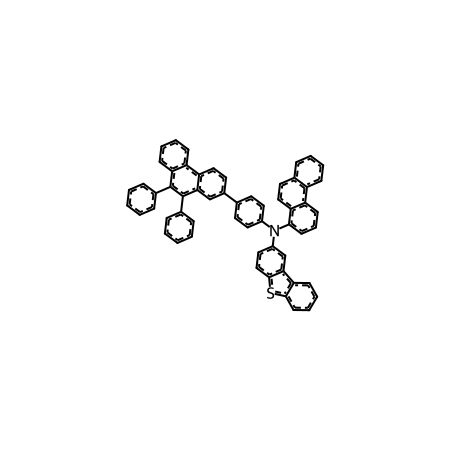 c1ccc(-c2c(-c3ccccc3)c3cc(-c4ccc(N(c5ccc6sc7ccccc7c6c5)c5cccc6c5ccc5ccccc56)cc4)ccc3c3ccccc23)cc1